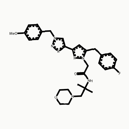 COc1ccc(Cn2cc(-c3cc(Cc4ccc(F)cc4)n(CC(=O)NC(C)(C)CN4CCOCC4)n3)nn2)cc1